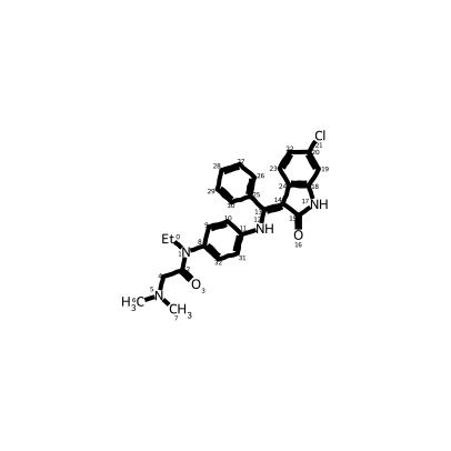 CCN(C(=O)CN(C)C)c1ccc(N/C(=C2\C(=O)Nc3cc(Cl)ccc32)c2ccccc2)cc1